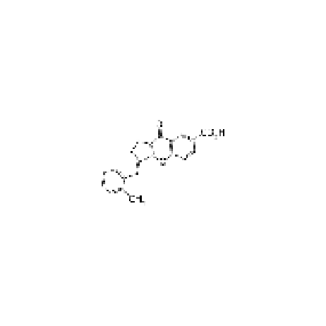 Cc1ccccc1/C=C1\CCc2c1oc1ccc(C(=O)O)cc1c2=O